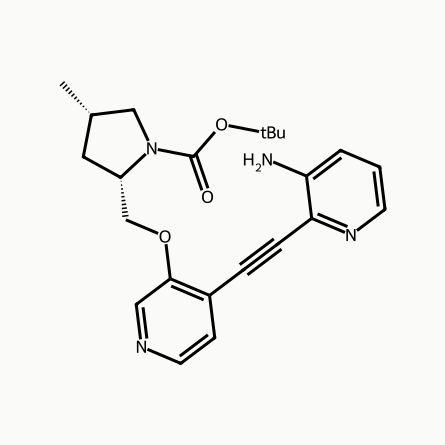 C[C@H]1C[C@@H](COc2cnccc2C#Cc2ncccc2N)N(C(=O)OC(C)(C)C)C1